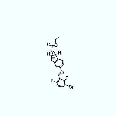 CCOC(=O)[C@H]1[C@@H]2Cc3cc(OCc4c(F)ccc(Br)c4F)ccc3[C@@H]21